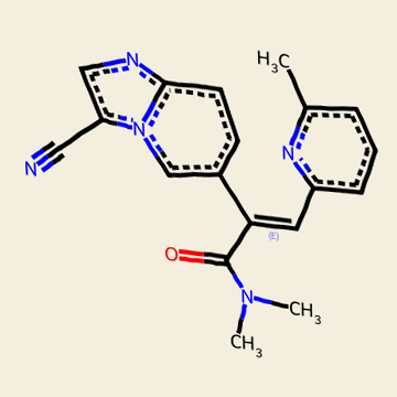 Cc1cccc(/C=C(/C(=O)N(C)C)c2ccc3ncc(C#N)n3c2)n1